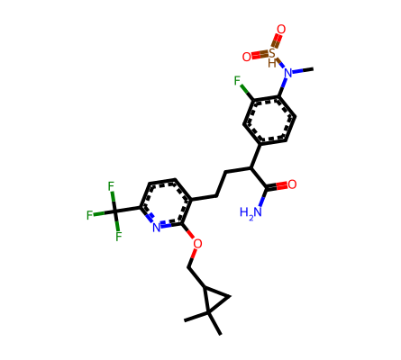 CN(c1ccc(C(CCc2ccc(C(F)(F)F)nc2OCC2CC2(C)C)C(N)=O)cc1F)[SH](=O)=O